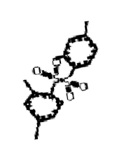 Cc1ccc(S(=O)(=O)S(=O)(=O)c2ccc(C)cc2C)c(C)c1